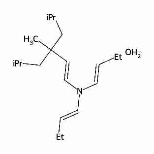 CCC=CN(C=CCC)C=CC(C)(CC(C)C)CC(C)C.O